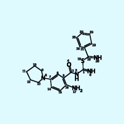 N=C(NC(=O)c1cc(N2CCCCC2)ccc1N)SC(=N)c1ccccc1